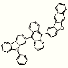 c1ccc(-n2c3ccccc3c3ccc(-c4c5ccccc5c(-c5ccc6oc7cc8ccccc8cc7c6c5)c5ccccc45)cc32)cc1